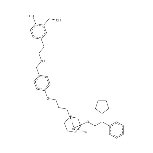 OCc1cc(CCNCc2ccc(OCCC[N+]34CCC(CC3)[C@H](OCC(c3ccccc3)C3CCCC3)C4)cc2)ccc1O